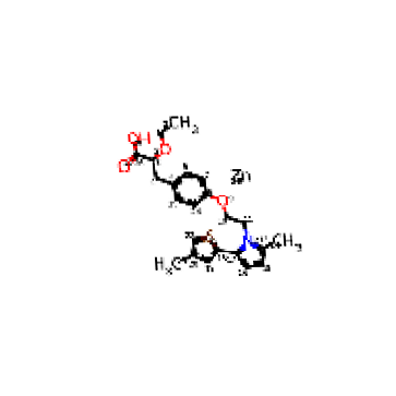 CCO[C@@H](Cc1ccc(OCCn2c(C)ccc2-c2cc(C)cs2)cc1)C(=O)O.[Zn]